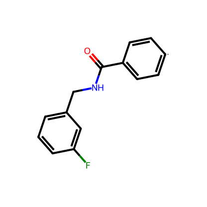 O=C(NCc1cccc(F)c1)c1cc[c]cc1